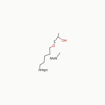 CCCCCCCCCCCCOCC(C)O.CNC